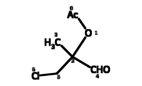 CC(=O)OC(C)(C=O)CCl